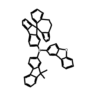 CC1(C)c2ccccc2-c2ccc(N(c3ccc4c(c3)C3(c5ccccc5CCc5ccccc53)c3ccccc3-4)c3ccc4oc5ccccc5c4c3)cc21